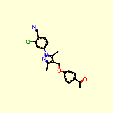 CC(=O)c1ccc(OCc2c(C)nn(-c3ccc(C#N)c(Cl)c3)c2C)cc1